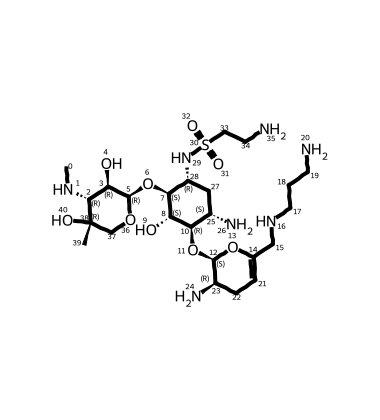 CN[C@@H]1[C@@H](O)[C@@H](O[C@@H]2[C@@H](O)[C@H](O[C@H]3OC(CNCCCN)=CC[C@H]3N)[C@@H](N)C[C@H]2NS(=O)(=O)CCN)OC[C@]1(C)O